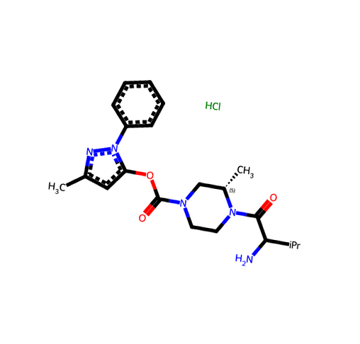 Cc1cc(OC(=O)N2CCN(C(=O)C(N)C(C)C)[C@@H](C)C2)n(-c2ccccc2)n1.Cl